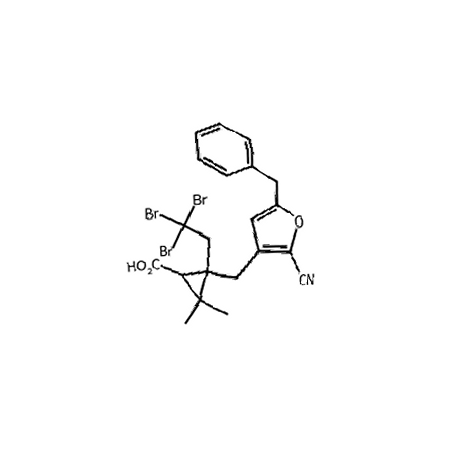 CC1(C)C(C(=O)O)C1(Cc1cc(Cc2ccccc2)oc1C#N)CC(Br)(Br)Br